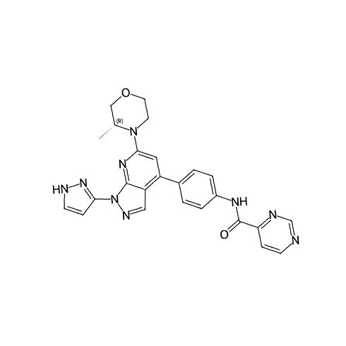 C[C@@H]1COCCN1c1cc(-c2ccc(NC(=O)c3ccncn3)cc2)c2cnn(-c3cc[nH]n3)c2n1